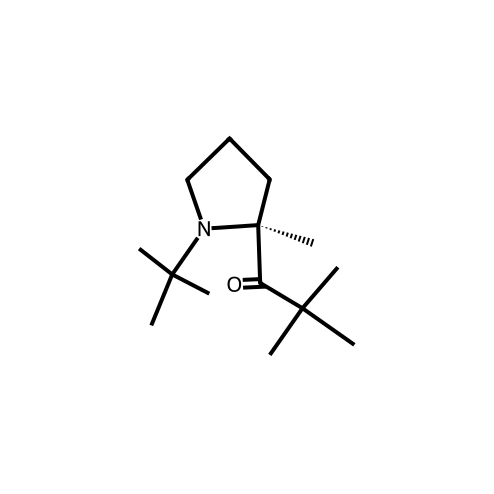 CC(C)(C)C(=O)[C@]1(C)CCCN1C(C)(C)C